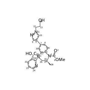 COC(=O)N1c2ccc(-c3cnn(CCO)c3)cc2[N+](C(=O)O)(c2ccccn2)C[C@@H]1C